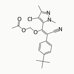 CC(=O)OCO/C(=C(/C#N)c1ccc(C(C)(C)C)cc1)c1c(Cl)c(C)nn1C